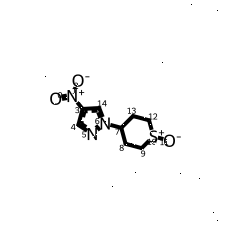 O=[N+]([O-])c1cnn(C2CC[S+]([O-])CC2)c1